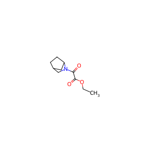 CCOC(=O)C(=O)N1CC2CCC1C2